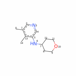 Cc1cncc(NC2CCOCC2)c1C